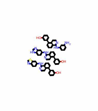 Nc1cccc(Nc2nccc3c(-c4cccc(O)c4)cccc23)c1.Oc1cccc(-c2cccc3c(Nc4ccc5[nH]cnc5c4)nccc23)c1.Oc1cccc(-c2cccc3c(Nc4ccc5ncsc5c4)nccc23)c1